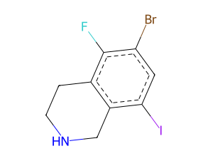 Fc1c(Br)cc(I)c2c1CCNC2